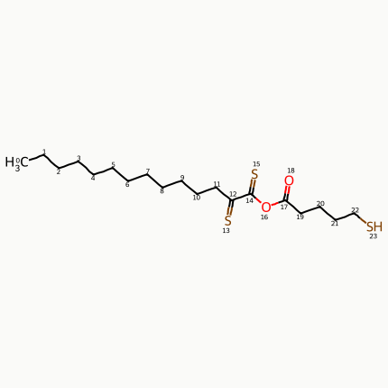 CCCCCCCCCCCCC(=S)C(=S)OC(=O)CCCCS